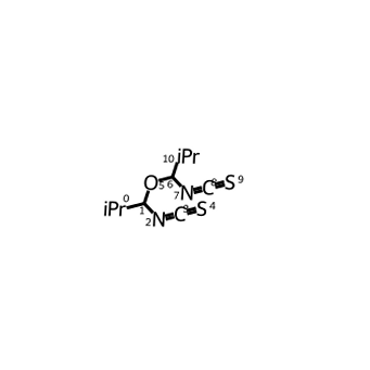 CC(C)C(N=C=S)OC(N=C=S)C(C)C